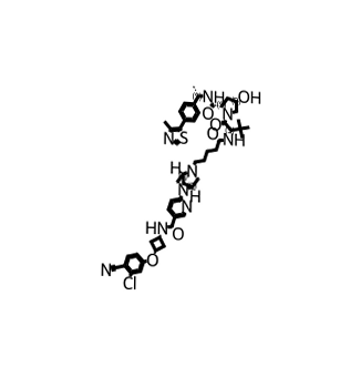 Cc1ncsc1-c1ccc([C@H](C)NC(=O)[C@@H]2C[C@@H](O)CN2C(=O)[C@@H](NC(=O)CCCCN2C[C@@H]3C[C@H]2CN3c2ccc(C(=O)N[C@H]3C[C@H](Oc4ccc(C#N)c(Cl)c4)C3)cn2)C(C)(C)C)cc1